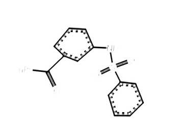 CCCC(=O)c1cccc(NS(=O)(=O)c2ccccc2)c1